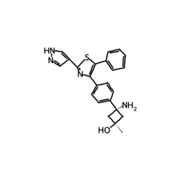 C[C@]1(O)C[C@@](N)(c2ccc(-c3nc(-c4cn[nH]c4)sc3-c3ccccc3)cc2)C1